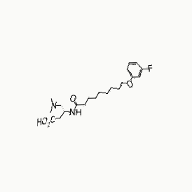 CN(C)C[C@@H](CC(=O)O)NC(=O)CCCCCCCCOc1cccc(F)c1